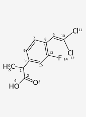 CC(C(=O)O)c1ccc(C=C(Cl)Cl)c(F)c1